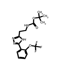 CC(C)(C)OC(=O)NCCc1nnc(-c2ccccc2OC(F)(F)F)[nH]1